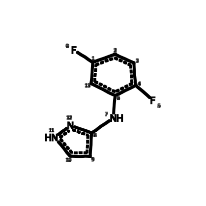 Fc1ccc(F)c(Nc2cc[nH]n2)c1